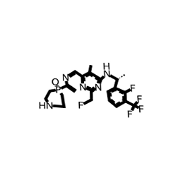 C=C(/N=C\c1nc(CF)nc(N[C@H](C)c2cccc(C(F)(F)F)c2F)c1C)P1(=O)CCNCC1